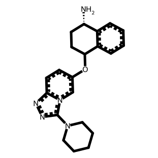 N[C@H]1CCC(Oc2ccc3nnc(N4CCCCC4)n3c2)c2ccccc21